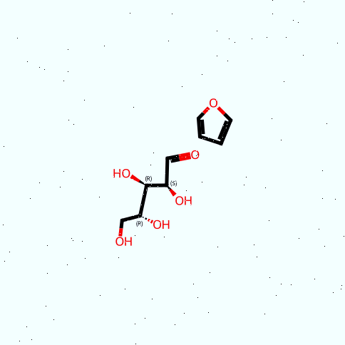 O=C[C@@H](O)[C@H](O)[C@H](O)CO.c1ccoc1